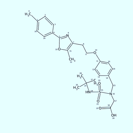 Cc1ccc(-c2nc(CCOc3ccc(CN(CC(=O)O)S(=O)(=O)NC(C)(C)C)cc3)c(C)o2)cc1